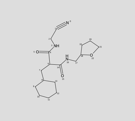 N#CCNC(=O)C(CC1CCCCC1)C(=O)NCC1CCCO1